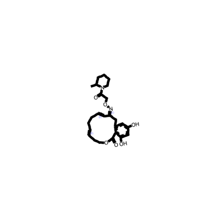 CC1CCCCN1C(=O)CO/N=C1\C=C\CC/C=C/CCOC(=O)c2c(O)cc(O)cc2C1